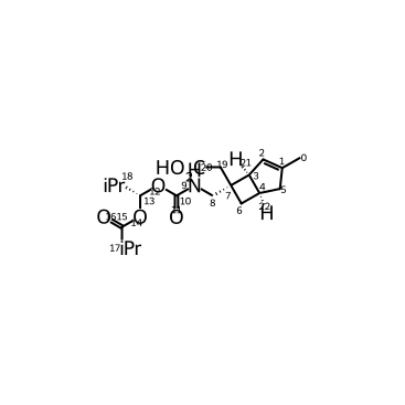 CC1=C[C@H]2[C@@H](C1)C[C@@]2(CNC(=O)O[C@H](OC(=O)C(C)C)C(C)C)CC(=O)O